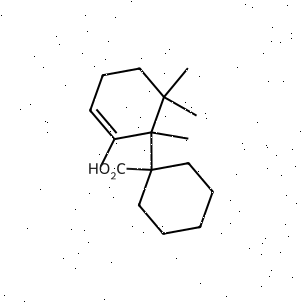 CC1=CCCC(C)(C)C1(C)C1(C(=O)O)CCCCC1